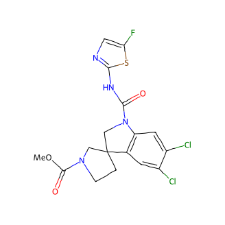 COC(=O)N1CCC2(C1)CN(C(=O)Nc1ncc(F)s1)c1cc(Cl)c(Cl)cc12